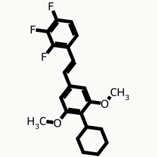 COc1cc(C=Cc2ccc(F)c(F)c2F)cc(OC)c1C1CCCCC1